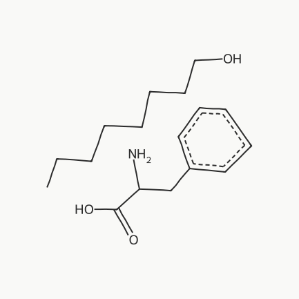 CCCCCCCCO.NC(Cc1ccccc1)C(=O)O